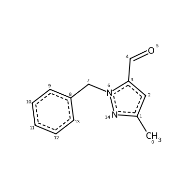 Cc1cc(C=O)n(Cc2ccccc2)n1